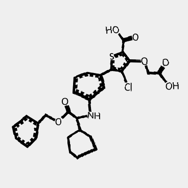 O=C(O)COc1c(C(=O)O)sc(-c2cccc(NC(C(=O)OCc3ccccc3)C3CCCCC3)c2)c1Cl